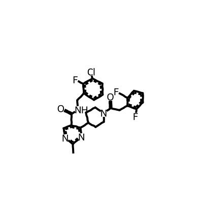 Cc1ncc(C(=O)NCc2cccc(Cl)c2F)c(C2CCN(C(=O)Cc3c(F)cccc3F)CC2)n1